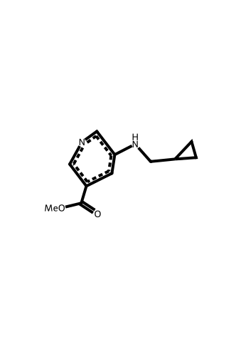 COC(=O)c1cncc(NCC2CC2)c1